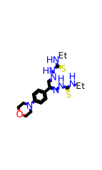 CCNC(=S)N/N=C(\C=N\NC(=S)NCC)c1ccc(N2CCOCC2)cc1